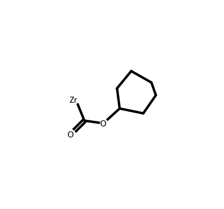 O=[C]([Zr])OC1CCCCC1